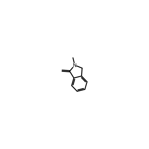 C=C1c2ccccc2CN1C